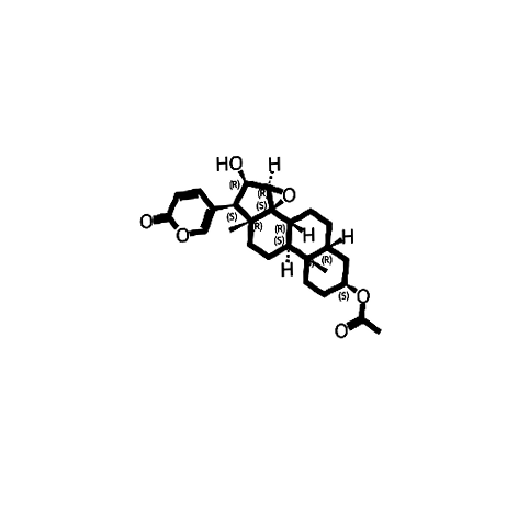 CC(=O)O[C@H]1CC[C@@]2(C)[C@H](CC[C@@H]3[C@@H]2CC[C@]2(C)[C@@H](c4ccc(=O)oc4)[C@@H](O)[C@H]4O[C@]342)C1